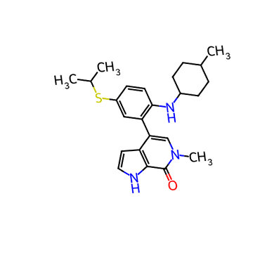 CC1CCC(Nc2ccc(SC(C)C)cc2-c2cn(C)c(=O)c3[nH]ccc23)CC1